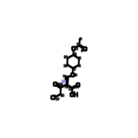 CC(=O)OC1CCC(O/N=C(\C(=O)O)C(=O)CCl)CC1